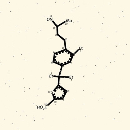 CCc1cc(C(CC)(CC)c2ccc(C(=O)O)s2)ccc1CCC(N=O)C(C)(C)C